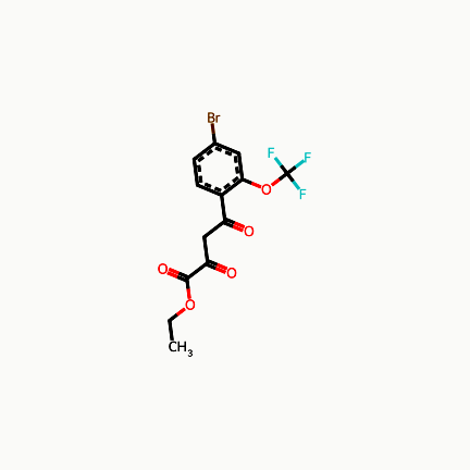 CCOC(=O)C(=O)CC(=O)c1ccc(Br)cc1OC(F)(F)F